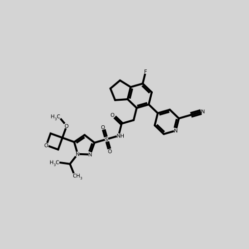 COC1(c2cc(S(=O)(=O)NC(=O)Cc3c(-c4ccnc(C#N)c4)cc(F)c4c3CCC4)nn2C(C)C)COC1